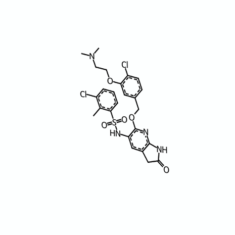 Cc1c(Cl)cccc1S(=O)(=O)Nc1cc2c(nc1OCc1ccc(Cl)c(OCCN(C)C)c1)NC(=O)C2